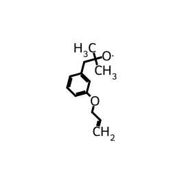 C=CCOc1cccc(CC(C)(C)[O])c1